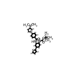 CN(C)[C@H]1CCN(c2ccc(C(=O)Nc3cc(-c4cccs4)ccc3NC(=O)OC(C)(C)C)cc2)C1